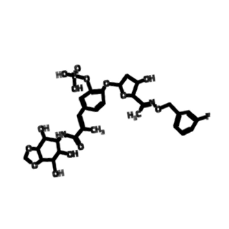 CC(=Cc1ccc(OC2CC(O)C(C(C)=NOCc3cccc(F)c3)O2)c(OP(=O)(O)O)c1)C(=O)NC1C(O)C(O)C2OCOC2C1O